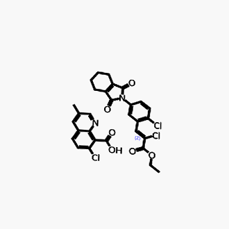 CCOC(=O)/C(Cl)=C/c1cc(N2C(=O)C3=C(CCCC3)C2=O)ccc1Cl.Cc1cnc2c(C(=O)O)c(Cl)ccc2c1